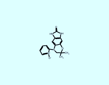 CC1(C)CN(c2cccc[n+]2[O-])c2cc3[nH]c(=O)[nH]c3cc2O1